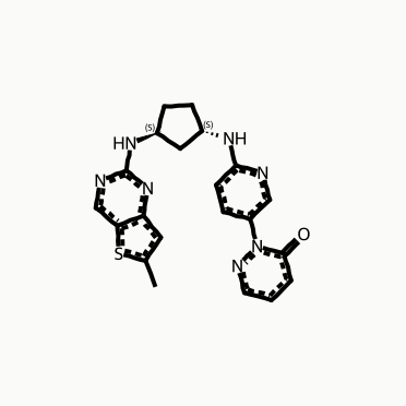 Cc1cc2nc(N[C@H]3CC[C@H](Nc4ccc(-n5ncccc5=O)cn4)C3)ncc2s1